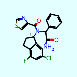 NC(=O)C(c1ccccc1)N(C(=O)c1cscn1)[C@@H]1CCc2c(F)cc(Cl)cc21